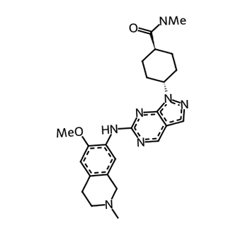 CNC(=O)[C@H]1CC[C@H](n2ncc3cnc(Nc4cc5c(cc4OC)CCN(C)C5)nc32)CC1